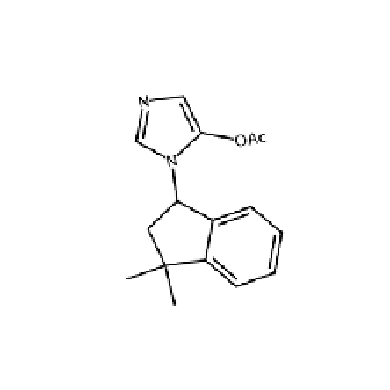 CC(=O)Oc1cncn1C1CC(C)(C)c2ccccc21